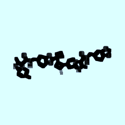 Cc1ccc2nc(C)c(C(=O)NCc3ccc4c(c3)OC(C3(C5C[C@@H](C)C5c5ccn6c(C(=O)NCc7ccc8c(c7)OCO8)c(C)nc6c5)CCC3)O4)n2c1